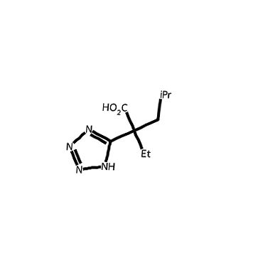 CCC(CC(C)C)(C(=O)O)c1nnn[nH]1